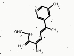 C=C(NC=O)/C(N)=C\C=C(/C)c1cncc(C)c1